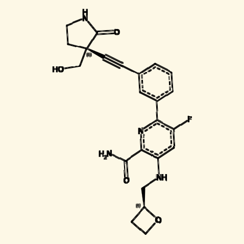 NC(=O)c1nc(-c2cccc(C#C[C@@]3(CO)CCNC3=O)c2)c(F)cc1NC[C@@H]1CCO1